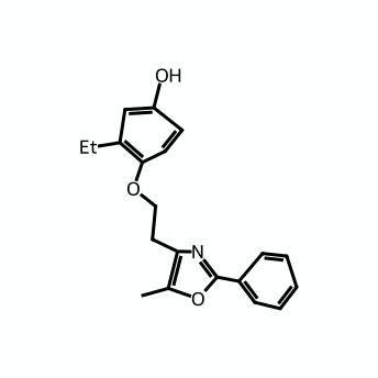 CCc1cc(O)ccc1OCCc1nc(-c2ccccc2)oc1C